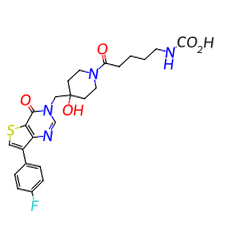 O=C(O)NCCCCC(=O)N1CCC(O)(Cn2cnc3c(-c4ccc(F)cc4)csc3c2=O)CC1